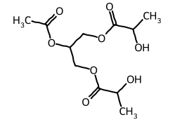 CC(=O)OC(COC(=O)C(C)O)COC(=O)C(C)O